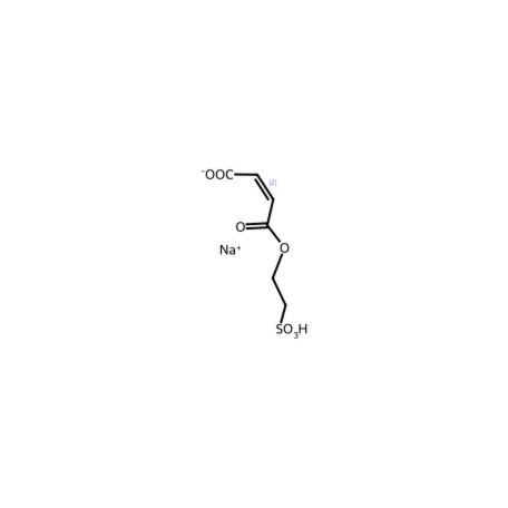 O=C([O-])/C=C\C(=O)OCCS(=O)(=O)O.[Na+]